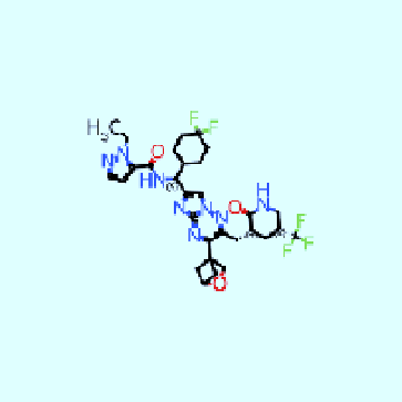 CCn1nccc1C(=O)N[C@H](c1cn2nc(C[C@H]3C[C@@H](C(F)(F)F)CNC3=O)c(C34COC(C3)C4)nc2n1)C1CCC(F)(F)CC1